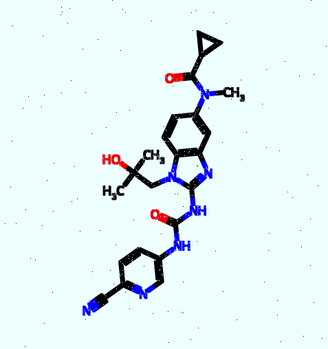 CN(C(=O)C1CC1)c1ccc2c(c1)nc(NC(=O)Nc1ccc(C#N)nc1)n2CC(C)(C)O